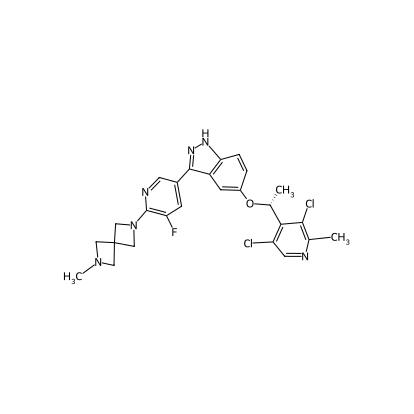 Cc1ncc(Cl)c([C@@H](C)Oc2ccc3[nH]nc(-c4cnc(N5CC6(CN(C)C6)C5)c(F)c4)c3c2)c1Cl